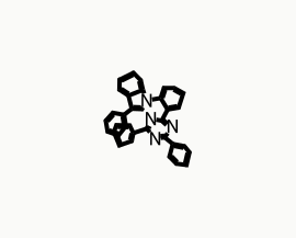 c1ccc(-c2nc(-c3ccccc3)nc(-c3ccccc3-n3cc(-c4ccccc4)c4ccccc43)n2)cc1